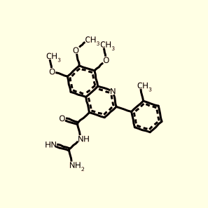 COc1cc2c(C(=O)NC(=N)N)cc(-c3ccccc3C)nc2c(OC)c1OC